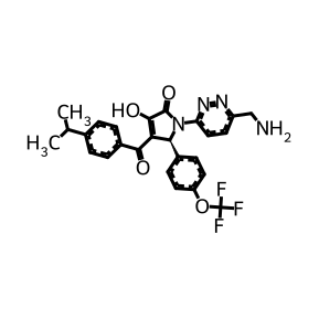 CC(C)c1ccc(C(=O)C2=C(O)C(=O)N(c3ccc(CN)nn3)[C@H]2c2ccc(OC(F)(F)F)cc2)cc1